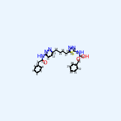 O=C(Cc1ccccc1)Nc1ccc(CCCCc2nnc(NC(O)OCc3ccccc3)s2)nn1